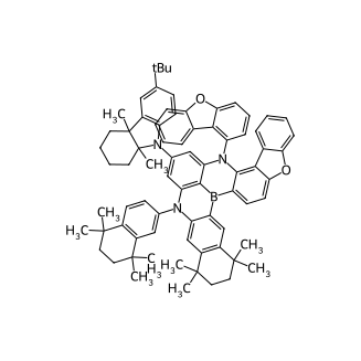 CC(C)(C)c1ccc2c(c1)C1(C)CCCCC1(C)N2c1cc2c3c(c1)N(c1cccc4oc5ccccc5c14)c1c(ccc4oc5ccccc5c14)B3c1cc3c(cc1N2c1ccc2c(c1)C(C)(C)CCC2(C)C)C(C)(C)CCC3(C)C